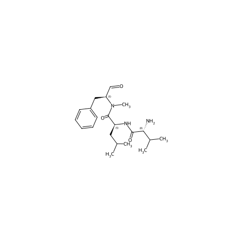 CC(C)C[C@H](NC(=O)[C@H](N)C(C)C)C(=O)N(C)[C@H](C=O)Cc1ccccc1